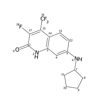 O=c1[nH]c2cc(NC3CCCC3)ccc2c(C(F)(F)F)c1F